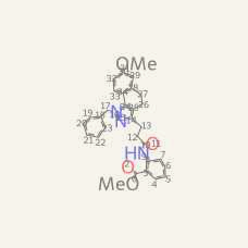 COC(=O)c1ccccc1NC(=O)CCc1nn(Cc2ccccc2)c2c1CCc1cc(OC)ccc1-2